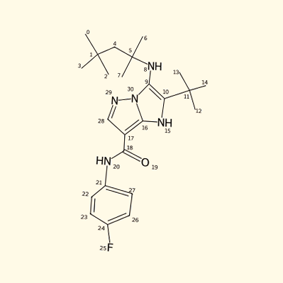 CC(C)(C)CC(C)(C)Nc1c(C(C)(C)C)[nH]c2c(C(=O)Nc3ccc(F)cc3)cnn12